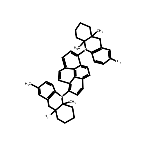 Cc1ccc2c(c1)CC1(C)CCCCC1(C)N2c1ccc2ccc3c(N4c5ccc(C)cc5CC5(C)CCCCC45C)ccc4ccc1c2c43